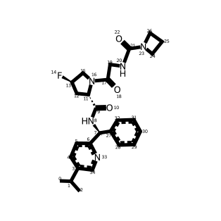 CC(C)c1ccc([C@@H](NC(=O)[C@@H]2C[C@@H](F)CN2C(=O)CNC(=O)N2CCC2)c2ccccc2)nc1